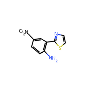 Nc1ccc([N+](=O)[O-])cc1-c1nccs1